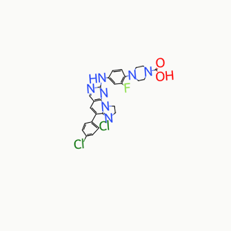 O=C(O)N1CCN(c2ccc(Nc3ncc4c(n3)N3CCN=C3C(c3ccc(Cl)cc3Cl)=C4)cc2F)CC1